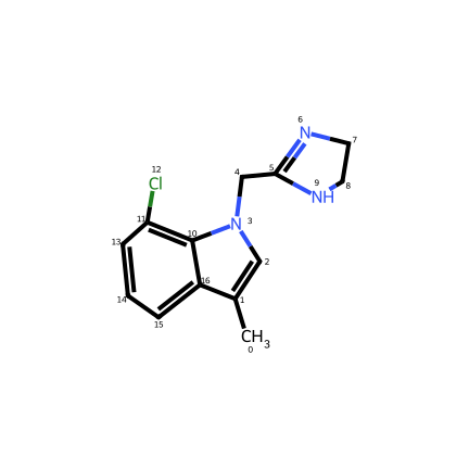 Cc1cn(CC2=NCCN2)c2c(Cl)cccc12